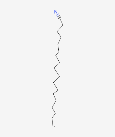 [CH2]CCCCCCCCCCCCCCCCC#N